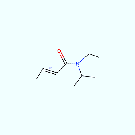 C/C=C/C(=O)N(CC)C(C)C